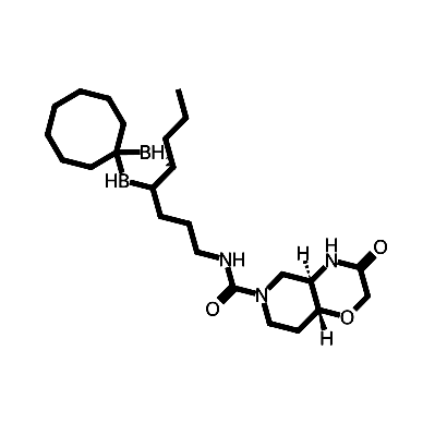 BC1(BC(CCCC)CCCNC(=O)N2CC[C@H]3OCC(=O)N[C@@H]3C2)CCCCCCC1